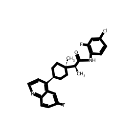 C[C@H](C(=O)Nc1ccc(Cl)cc1F)[C@]1(C)CC[C@H](c2ccnc3ccc(F)cc32)CC1